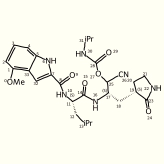 COc1cccc2[nH]c(C(=O)N[C@@H](CC(C)C)C(=O)N[C@@H](C[C@@H]3CCNC3=O)C(C#N)OC(=O)NC(C)C)cc12